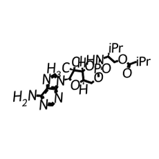 CC(C)C(=O)OC[C@@H](N[P@@]1(=O)OC[C@H]2O[C@@H](n3cnc4c(N)ncnc43)[C@](C)(Cl)[C@@H]2O1)C(C)C